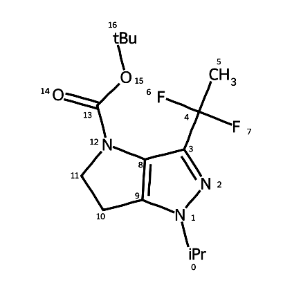 CC(C)n1nc(C(C)(F)F)c2c1CCN2C(=O)OC(C)(C)C